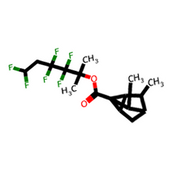 CC1C2CC3C1C3(C(=O)OC(C)(C)C(F)(F)C(F)(F)CC(F)F)C2C